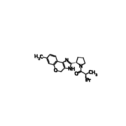 Cc1ccc2c(c1)OCc1[nH]c([C@@H]3CCCN3C(=O)[C@@H](C)C(C)C)nc1-2